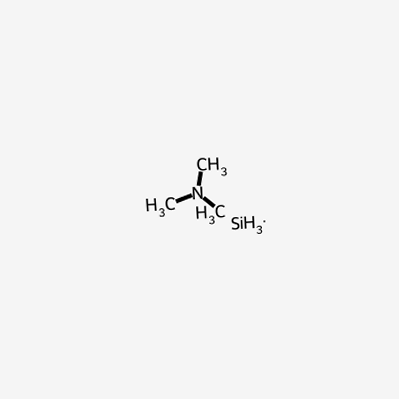 CN(C)C.[SiH3]